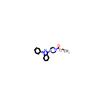 CCOC(=O)N1CCN(c2nn(-c3ccccc3)c3ccccc23)CC1